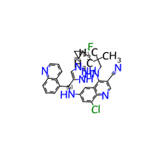 CC(C)(C)CNc1c(C#N)cnc2c(Cl)cc(N[C@H](C3=CN([C@@H]4C[C@@H]4F)NN3)c3cccc4ncccc34)cc12